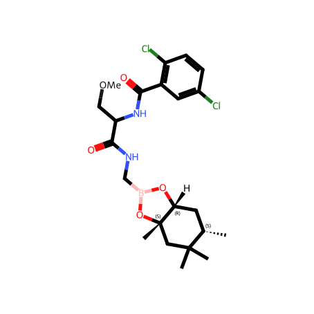 COCC(NC(=O)c1cc(Cl)ccc1Cl)C(=O)NCB1O[C@@H]2C[C@H](C)C(C)(C)C[C@]2(C)O1